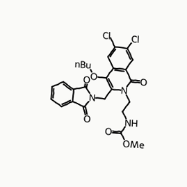 CCCCOc1c(CN2C(=O)c3ccccc3C2=O)n(CCNC(=O)OC)c(=O)c2cc(Cl)c(Cl)cc12